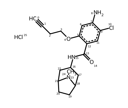 C#CCCOc1cc(N)c(Cl)cc1C(=O)NC1CC2CCC(C1)N2C.Cl